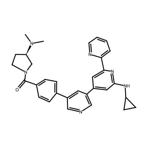 CN(C)[C@@H]1CCN(C(=O)c2ccc(-c3cncc(-c4cc(NC5CC5)nc(-c5ccccn5)c4)c3)cc2)C1